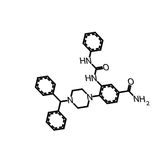 NC(=O)c1ccc(N2CCN(C(c3ccccc3)c3ccccc3)CC2)c(NC(=O)Nc2ccccc2)c1